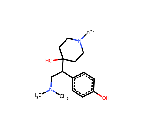 CCCN1CCC(O)(C(CN(C)C)c2ccc(O)cc2)CC1